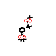 CC(C)(C)OC(=O)[C@@H]1[C@@H](c2cccc(B3OC(C)(C)C(C)(C)O3)c2)C1(C)C